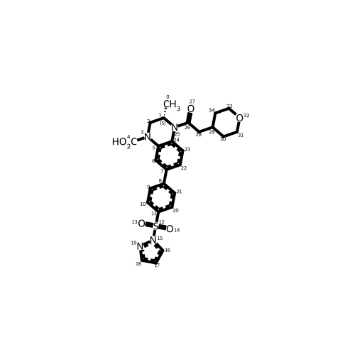 C[C@H]1CN(C(=O)O)c2cc(-c3ccc(S(=O)(=O)n4cccn4)cc3)ccc2N1C(=O)CC1CCOCC1